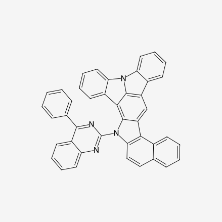 c1ccc(-c2nc(-n3c4ccc5ccccc5c4c4cc5c6ccccc6n6c7ccccc7c(c43)c56)nc3ccccc23)cc1